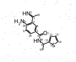 CC(=N)c1cc(C(=O)NC(C)c2cccs2)ccc1N